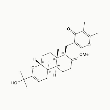 C=C1CC[C@@H]2[C@](C)(CC[C@H]3OC(C(C)(C)O)=CC[C@]23C)[C@H]1Cc1c(OC)oc(C)c(C)c1=O